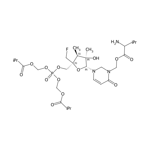 CC(C)C(=O)OCOP(=O)(OCOC(=O)C(C)C)OC[C@@]1(CF)O[C@@H](N2C=CC(=O)N(COC(=O)C(N)C(C)C)C2)[C@](C)(O)[C@@H]1C